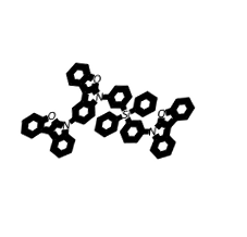 c1ccc([Si](c2ccccc2)(c2cccc(-n3c4ccccc4c4c5ccccc5oc43)c2)c2cccc(-n3c4ccc(-n5c6ccccc6c6c7ccccc7oc65)cc4c4c5ccccc5oc43)c2)cc1